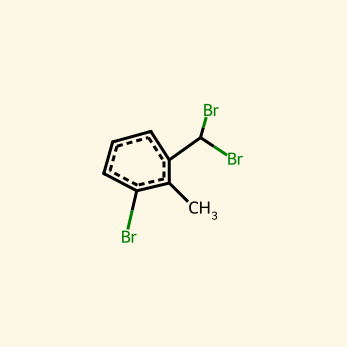 Cc1c(Br)cccc1C(Br)Br